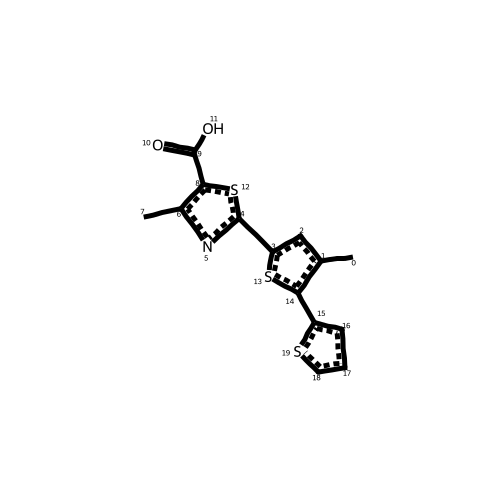 Cc1cc(-c2nc(C)c(C(=O)O)s2)sc1-c1cccs1